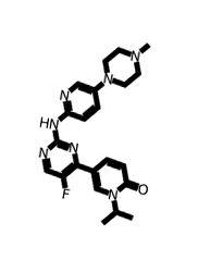 CC(C)n1cc(-c2nc(Nc3ccc(N4CCN(C)CC4)cn3)ncc2F)ccc1=O